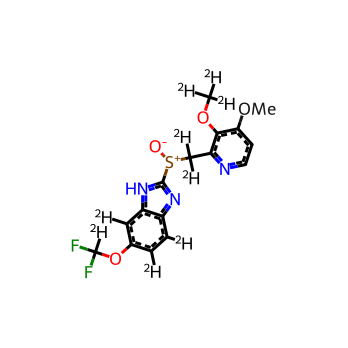 [2H]c1c(OC([2H])(F)F)c([2H])c2[nH]c([S+]([O-])C([2H])([2H])c3nccc(OC)c3OC([2H])([2H])[2H])nc2c1[2H]